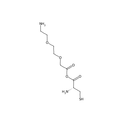 NCCOCCOCC(=O)OC(=O)[C@@H](N)CS